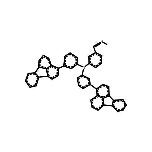 C/N=C\c1cccc(N(c2cccc(-c3ccc4c5c(cccc35)-c3ccccc3-4)c2)c2cccc(-c3ccc4c5c(cccc35)-c3ccccc3-4)c2)c1